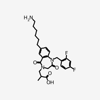 CC(CN1CC(=O)N(Cc2ccc(F)cc2F)c2ccc(CCCCCCN)cc2C1=O)C(=O)O